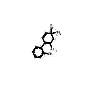 CC1=C(c2ccccc2C)C=CC(N)(N)C1